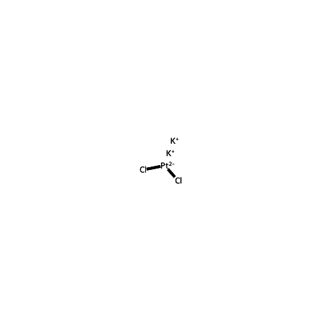 [Cl][Pt-2][Cl].[K+].[K+]